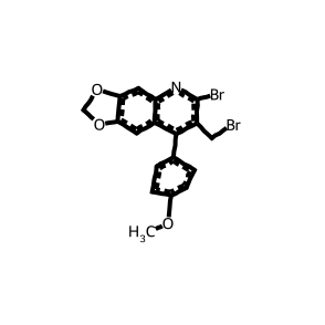 COc1ccc(-c2c(CBr)c(Br)nc3cc4c(cc23)OCO4)cc1